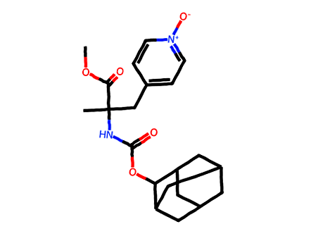 COC(=O)C(C)(Cc1cc[n+]([O-])cc1)NC(=O)OC1C2CC3CC(C2)CC1C3